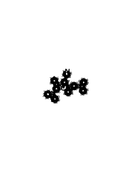 N#Cc1c(-n2c3ccccc3c3cc(-n4c5c(c6ccccc64)C=CCC5)ccc32)cc(-c2ccncc2)cc1-n1c2ccccc2c2cc(-n3c4ccccc4c4ccccc43)ccc21